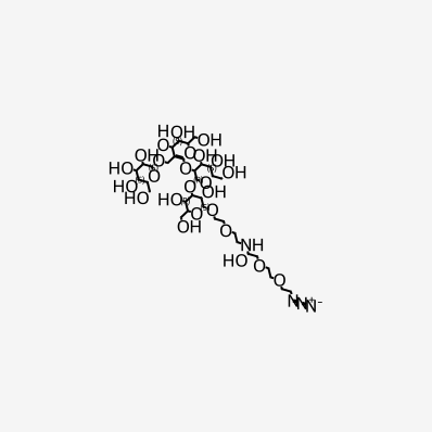 [N-]=[N+]=NCCOCCOCC(O)NCCOCCO[C@H]1OC(CO)[C@@H](O)C(O[C@H]2OC(CO)[C@@H](O)C(O)C2OC2=C(CO[C@H]3OC(CO)[C@@H](O)C(O)C3O)C(O)[C@H](O)C(CO)O2)C1O